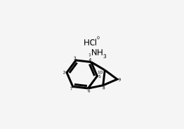 Cl.N.c1cc2cc(c1)C1CC21